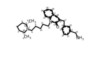 C[C@@H]1CCC[C@H](C)N1CCCCCn1c(=O)c(Cc2cccc(CN)c2)cc2ccccc21